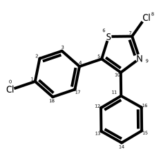 Clc1ccc(-c2sc(Cl)nc2-c2ccccc2)cc1